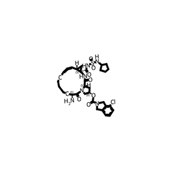 N[C@H]1CCCCCC=C=C[C@@H]2C[C@@]2(C(=O)NS(=O)(=O)NC2CCCC2)NC(=O)[C@@H]2C[C@@H](OC(=O)N3Cc4cccc(Cl)c4C3)CN2C1=O